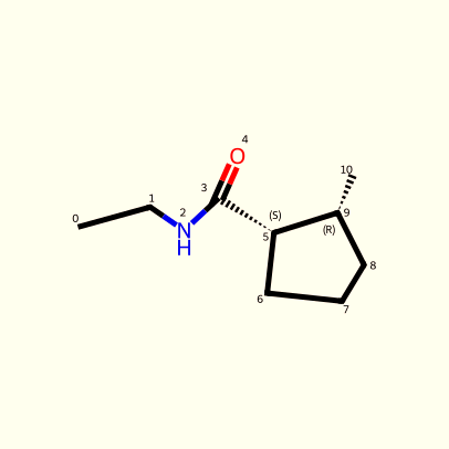 CCNC(=O)[C@H]1CCC[C@H]1C